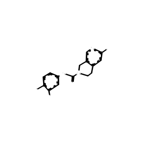 O=C(Nc1ccc(Cl)c(Cl)c1)N1CCc2cc(F)ncc2C1